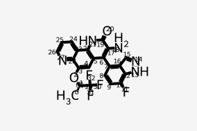 C[C@@H](Oc1cc2c(-c3ccc(F)c4[nH]ncc34)c(N)c(=O)[nH]c2c2cccnc12)C(F)(F)F